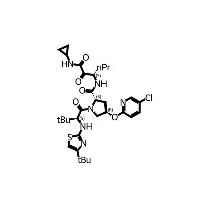 CCC[C@H](NC(=O)[C@@H]1C[C@@H](Oc2ccc(Cl)cn2)CN1C(=O)[C@@H](Nc1nc(C(C)(C)C)cs1)C(C)(C)C)C(=O)C(=O)NC1CC1